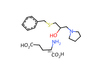 N[C@@H](CCC(=O)O)C(=O)O.OC(CSCc1ccccc1)CN1CCCC1